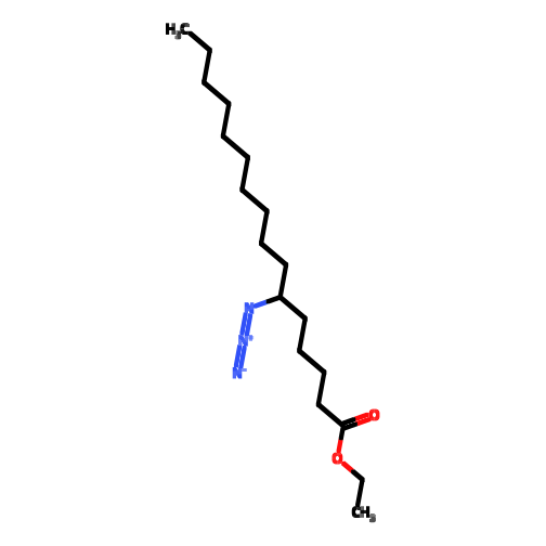 CCCCCCCCCCC(CCCCC(=O)OCC)N=[N+]=[N-]